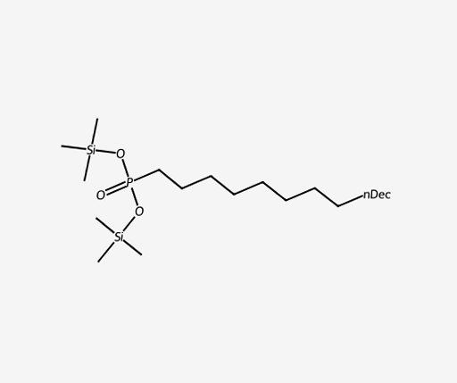 CCCCCCCCCCCCCCCCCCP(=O)(O[Si](C)(C)C)O[Si](C)(C)C